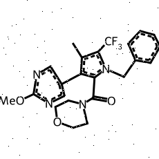 COc1ncc(-c2c(C)c(C(F)(F)F)n(Cc3ccccc3)c2C(=O)N2CCOCC2)cn1